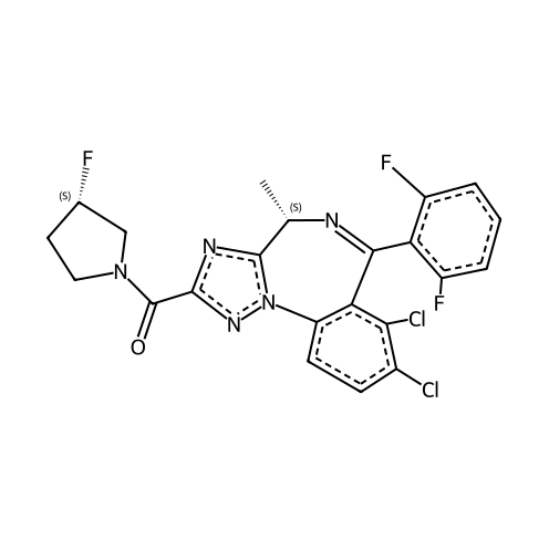 C[C@@H]1N=C(c2c(F)cccc2F)c2c(ccc(Cl)c2Cl)-n2nc(C(=O)N3CC[C@H](F)C3)nc21